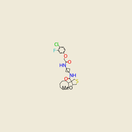 COC1CSCC1(C(=O)NC12CC(NC(=O)COc3ccc(Cl)c(F)c3)(C1)C2)C1CCCCCCC1